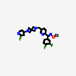 CCO/N=C(\c1ccc(F)c(F)c1)c1ccc(CN2CC3(C2)CN(c2ccnc(F)c2)C3)cn1